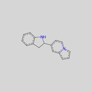 c1ccc2c(c1)CC(c1ccn3cccc3c1)N2